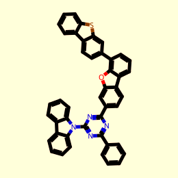 c1ccc(-c2nc(-c3ccc4c(c3)oc3c(-c5ccc6c(c5)sc5ccccc56)cccc34)nc(-n3c4ccccc4c4ccccc43)n2)cc1